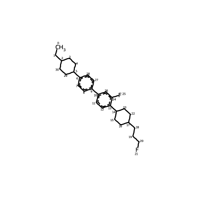 CCC1CCC(c2ccc(-c3ccc(C4CCC(CCCF)CC4)c(F)c3)cc2)CC1